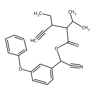 C#CC(CC)C(C(=O)OC(C#N)c1cccc(Oc2ccccc2)c1)C(C)C